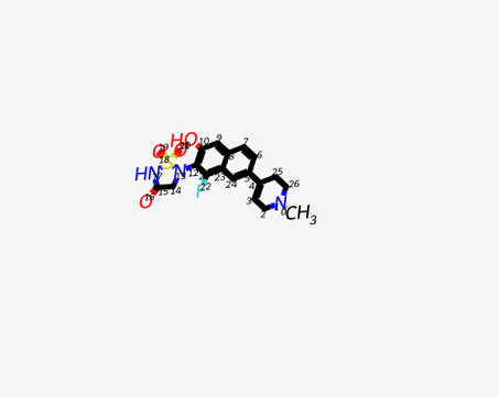 CN1CC=C(c2ccc3cc(O)c(N4CC(=O)NS4(=O)=O)c(F)c3c2)CC1